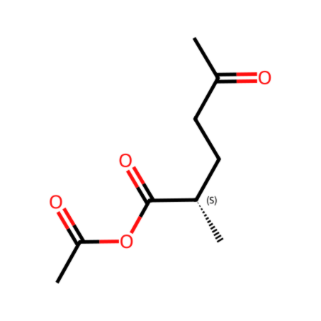 CC(=O)CC[C@H](C)C(=O)OC(C)=O